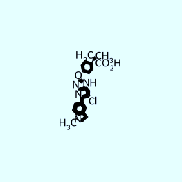 CN1CCc2cc(-c3nc4nc(O[C@H]5CC[C@H](C(C)(C)C(=O)O)CC5)[nH]c4cc3Cl)ccc21